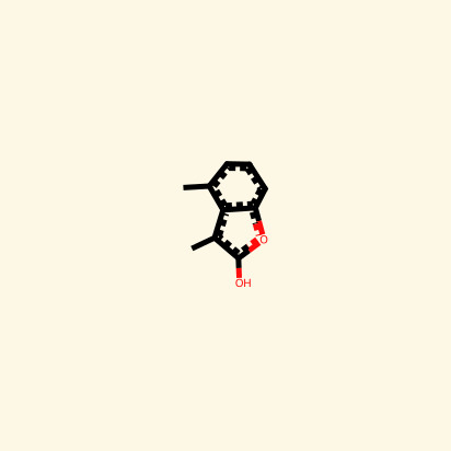 Cc1cccc2oc(O)c(C)c12